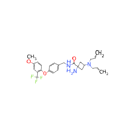 C=CCN(CC=C)C1CC(N)(C(=O)NCc2ccc(Oc3ccc(OC)cc3C(F)(F)F)cc2)C1